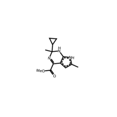 COC(=O)C1=NC(C)(C2CC2)Nc2[nH]c(C)cc21